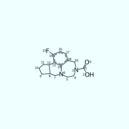 O=C(O)N1CCN2CC3CCCC3c3c(F)ccc(c32)C1